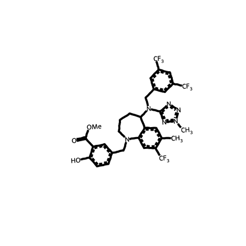 COC(=O)c1cc(CN2CCCC(N(Cc3cc(C(F)(F)F)cc(C(F)(F)F)c3)c3nnn(C)n3)c3cc(C)c(C(F)(F)F)cc32)ccc1O